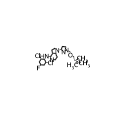 C[Si](C)(C)CCOCn1ccc(-n2ccc3c(Nc4c(Cl)cc(F)cc4Cl)nccc32)n1